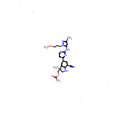 COCCCn1nc(C)cc1Nc1nccc(-c2cc(C#N)c3c(c2)[C@@](C)(COC(C)=O)CN3)n1